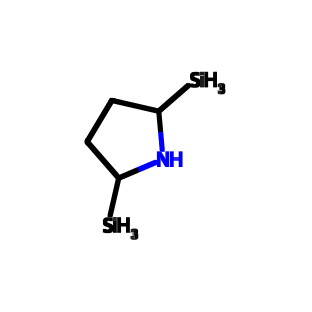 [SiH3]C1CCC([SiH3])N1